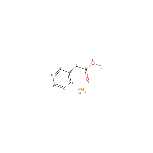 COC(=O)Cc1ccccc1.P